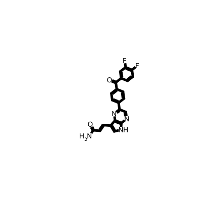 NC(=O)C=Cc1c[nH]c2ncc(-c3ccc(C(=O)c4ccc(F)c(F)c4)cc3)nc12